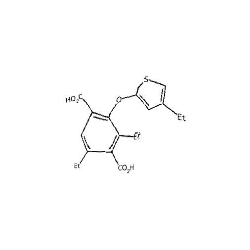 CCc1csc(Oc2c(C(=O)O)cc(CC)c(C(=O)O)c2CC)c1